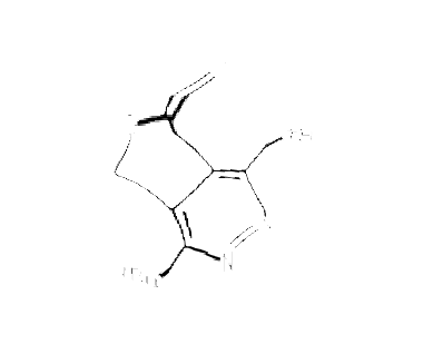 CC(C)(C)c1nnc(C(C)(C)C)c2c1COC2=O